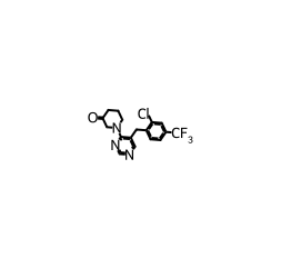 O=C1CCCN(c2ncncc2Cc2ccc(C(F)(F)F)cc2Cl)C1